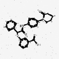 O=C(O)c1cccc(OC(C(=O)Nc2ccc(N3CCCCC3=O)cc2)c2ccccc2)c1